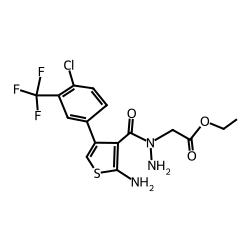 CCOC(=O)CN(N)C(=O)c1c(-c2ccc(Cl)c(C(F)(F)F)c2)csc1N